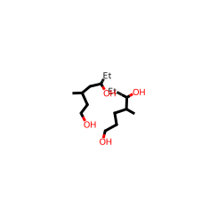 CCC(O)C(C)CCCO.CCC(O)CC(C)CCO